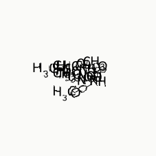 COC(=O)NC(C(=O)NN(Cc1ccc(-c2nc(C(C)(C)C)cs2)cc1)C[C@H](O)C(Cc1ccc(OC)cc1)NC(=O)OC1COC2OCCC12)C(C)(C)C